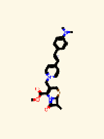 COC(=O)C1=C(C[n+]2ccc(/C=C/c3ccc(N(C)C)cc3)cc2)CSC2C(C)C(=O)N12